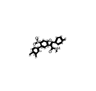 CNC(=O)c1c(-c2ccc(F)cc2)oc2cc([N+](=O)[O-])c(-c3ccc(C)c(C)c3)cc12